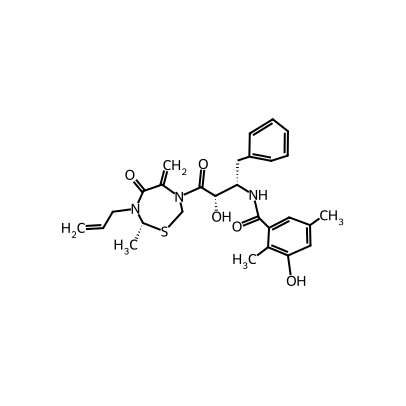 C=CCN1C(=O)C(=C)N(C(=O)[C@@H](O)[C@H](Cc2ccccc2)NC(=O)c2cc(C)cc(O)c2C)CS[C@@H]1C